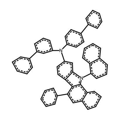 c1ccc(-c2ccc(N(c3cccc(-c4ccccc4)c3)c3ccc4c5c(-c6ccccc6)cc6ccccc6c5n(-c5cccc6ccccc56)c4c3)cc2)cc1